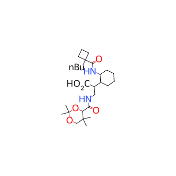 CCCCC1(C(=O)NC2CCCCC2C(CNC(=O)C2OC(C)(C)OCC2(C)C)C(=O)O)CCC1